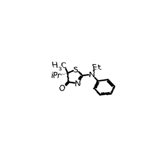 CCN(C1=NC(=O)[C@](C)(C(C)C)S1)c1ccccc1